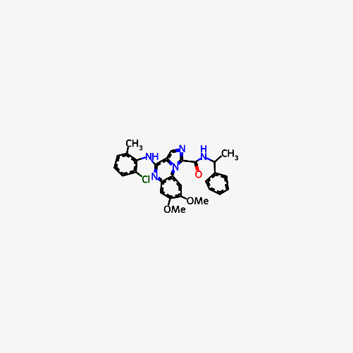 COc1cc2nc(Nc3c(C)cccc3Cl)c3cnc(C(=O)NC(C)c4ccccc4)n3c2cc1OC